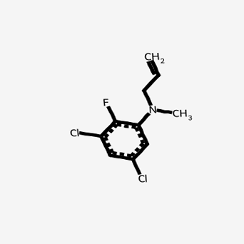 C=CCN(C)c1cc(Cl)cc(Cl)c1F